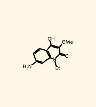 CCn1c(=O)c(OC)c(O)c2ccc(N)cc21